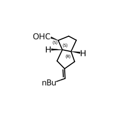 CCCCC=C1C[C@H]2CC[C@H](C=O)[C@H]2C1